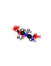 COc1cc(S(=O)(=O)CCOS(=O)(=O)O)c(C)cc1/N=N/c1cc(C)c(NCS(=O)(=O)O)cc1C